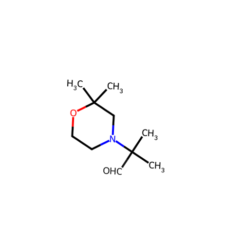 CC1(C)CN(C(C)(C)C=O)CCO1